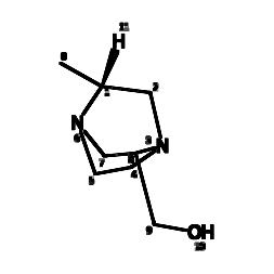 C[C@@H]1CN2CCN1CC2CO